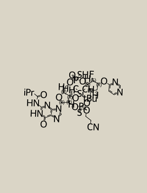 CC(C)C(=O)Nc1nc2c(ncn2[C@@H]2O[C@@H]3CO[P@@](=O)(S)O[C@@H]4[C@@H](CO[P@@](=S)(OCCC#N)O[C@@H]2[C@@H]3O[Si](C)(C)C(C)(C)C)C[C@@H](Oc2ccncn2)[C@@H]4F)c(=O)[nH]1